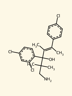 CC(=C(C)C(O)(c1ccc(Cl)cc1Cl)C(C)(C)CN)c1ccc(Cl)cc1